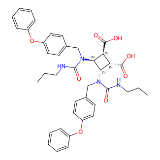 CCCNC(=O)N(Cc1ccc(Oc2ccccc2)cc1)[C@H]1[C@@H](C(=O)O)[C@H](C(=O)O)[C@@H]1N(Cc1ccc(Oc2ccccc2)cc1)C(=O)NCCC